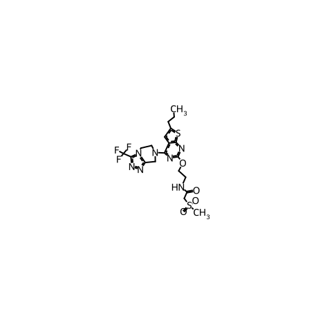 CCCc1cc2c(N3CCn4c(nnc4C(F)(F)F)C3)nc(OCCNC(=O)CS(C)(=O)=O)nc2s1